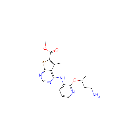 COC(=O)c1sc2ncnc(Nc3cccnc3OC(C)CCN)c2c1C